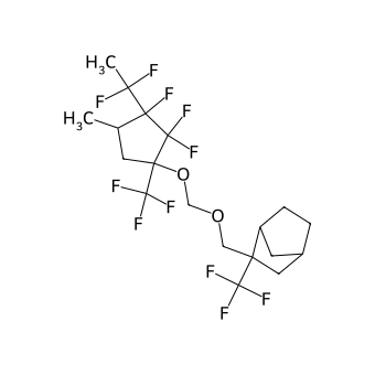 CC1CC(OCOCC2(C(F)(F)F)CC3CCC2C3)(C(F)(F)F)C(F)(F)C1(F)C(C)(F)F